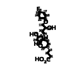 O=C(O)CCC[C@H]1CC[C@@H]2[C@@H](C=C[C@@H](O)COc3ccc(F)cc3)[C@H](O)C[C@@H]2OC1